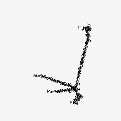 CCN(CC)c1ccc2nc3c4cc(OCC(=O)NC(COCCC(=O)CCCOCCOCCOCCOCCOCCOCCOCCOCCOCCOCCOCCOCCC(=O)CCc5ccc(COc6nc(N)nc7[nH]cnc67)cc5)(COCCC(=O)NCCOCCOCCOCCOC)COCCC(=O)NCCOCCOCCOCCOCCOCCOCCOCCOC)ccc4c(=O)cc-3oc2c1